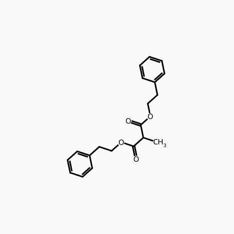 CC(C(=O)OCCc1ccccc1)C(=O)OCCc1ccccc1